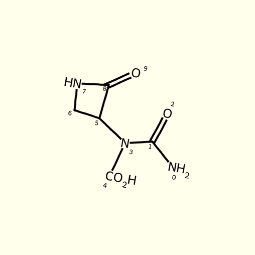 NC(=O)N(C(=O)O)C1CNC1=O